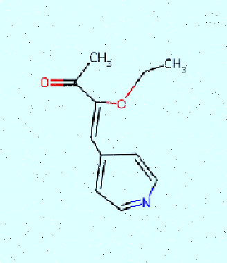 CCOC(=Cc1ccncc1)C(C)=O